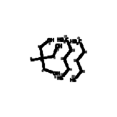 CC(CO)(CO)CO.O=C(O)CCCS.O=C(O)CCCS